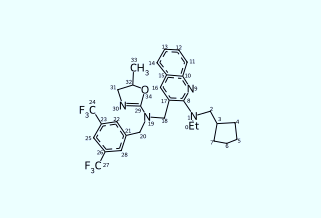 CCN(CC1CCCC1)c1nc2ccccc2cc1CN(Cc1cc(C(F)(F)F)cc(C(F)(F)F)c1)C1=NCC(C)O1